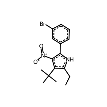 CCc1[nH]c(-c2cccc(Br)c2)c([N+](=O)[O-])c1C(C)(C)C